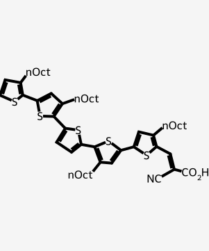 CCCCCCCCc1cc(-c2cc(CCCCCCCC)c(-c3ccc(-c4sc(-c5sccc5CCCCCCCC)cc4CCCCCCCC)s3)s2)sc1/C=C(\C#N)C(=O)O